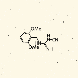 COc1cccc(OC)c1CNC(=N)NC#N